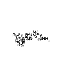 NC(=O)Cc1cnc(-c2cnc(NC[C@]3(c4ncccc4F)C[C@H](F)C3)nn2)s1